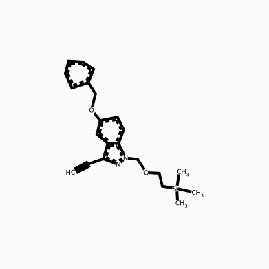 C#Cc1nn(COCC[Si](C)(C)C)c2ccc(OCc3ccccc3)cc12